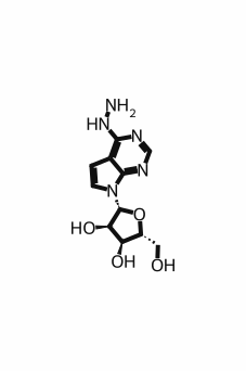 NNc1ncnc2c1ccn2[C@@H]1O[C@H](CO)[C@@H](O)[C@H]1O